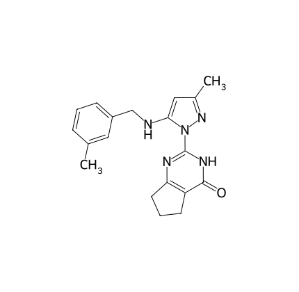 Cc1cccc(CNc2cc(C)nn2-c2nc3c(c(=O)[nH]2)CCC3)c1